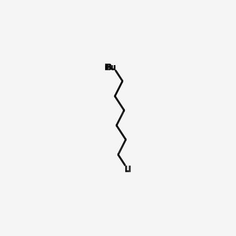 [Li][CH2]CCCCCC(C)CC